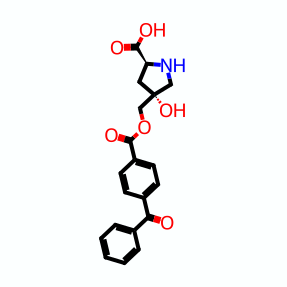 O=C(OC[C@]1(O)CN[C@H](C(=O)O)C1)c1ccc(C(=O)c2ccccc2)cc1